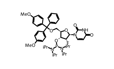 COc1ccc(C(OC[C@H]2O[C@@H](n3ccc(=O)[nH]c3=O)[C@H](F)[C@@H]2OP(N(C(C)C)C(C)C)N(C(C)C)C(C)C)(c2ccccc2)c2ccc(OC)cc2)cc1